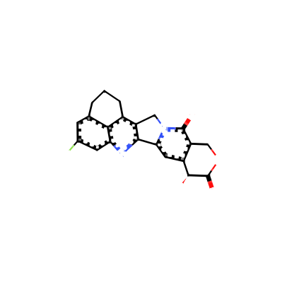 O=C1OCc2c(cc3n(c2=O)Cc2c-3nc3cc(F)cc4c3c2CCC4)[C@@H]1O